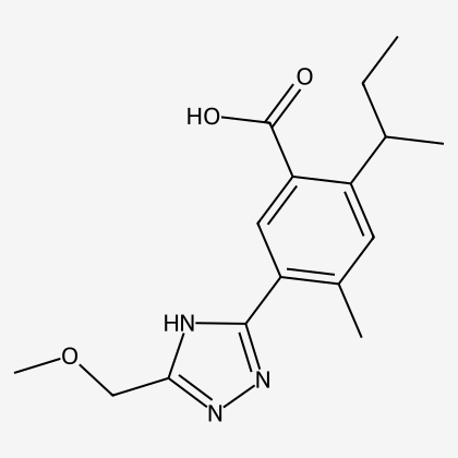 CCC(C)c1cc(C)c(-c2nnc(COC)[nH]2)cc1C(=O)O